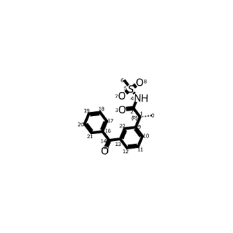 C[C@@H](C(=O)NS(C)(=O)=O)c1cccc(C(=O)c2ccccc2)c1